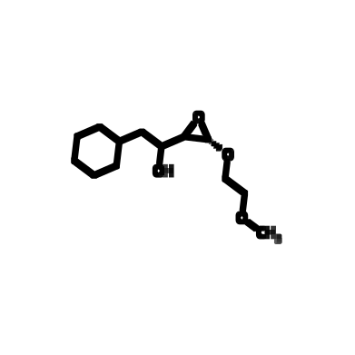 COCCO[C@H]1OC1C(O)CC1CCCCC1